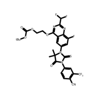 CC(C)(C)OC(=O)OCCOc1nc(C(F)F)nc2c(F)cc(N3C(=S)N(c4ccc(C#N)c(C(F)(F)F)c4)C(=O)C3(C)C)cc12